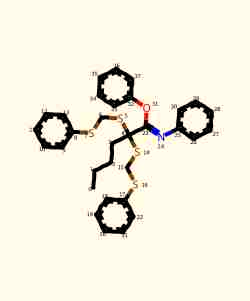 CCCCC(SCSc1ccccc1)(SCSc1ccccc1)C(=Nc1ccccc1)Oc1ccccc1